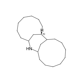 C1CCCCC2CC(CCC1)NC1CCCCCCC[C@H]2C1